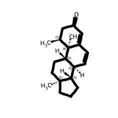 C[C@H]1CC(=O)C=C2C=C[C@H]3[C@@H]4CCC[C@@]4(C)CC[C@@H]3[C@]21C